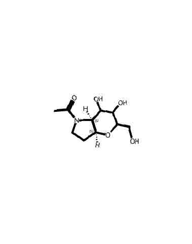 CC(=O)N1CC[C@@H]2OC(CO)C(O)C(O)[C@@H]21